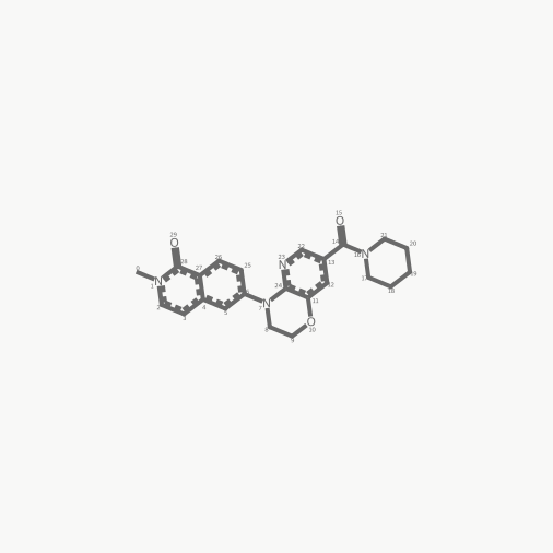 Cn1ccc2cc(N3CCOc4cc(C(=O)N5CCCCC5)cnc43)ccc2c1=O